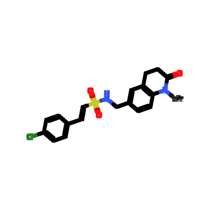 CCCN1C(=O)CCc2cc(CNS(=O)(=O)/C=C/c3ccc(Cl)cc3)ccc21